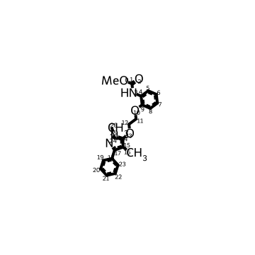 COC(=O)Nc1ccccc1OCCOc1c(C)c(-c2ccccc2)nn1C